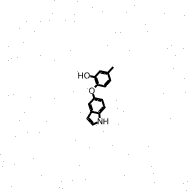 Cc1ccc(Oc2ccc3[nH]ccc3c2)c(O)c1